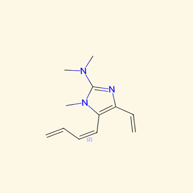 C=C/C=C\c1c(C=C)nc(N(C)C)n1C